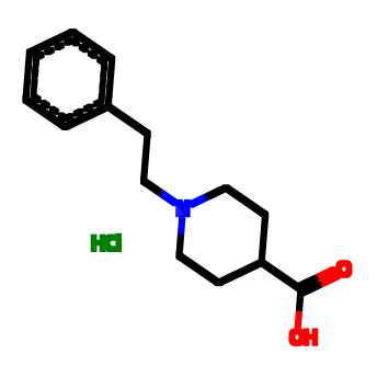 Cl.O=C(O)C1CCN(CCc2ccccc2)CC1